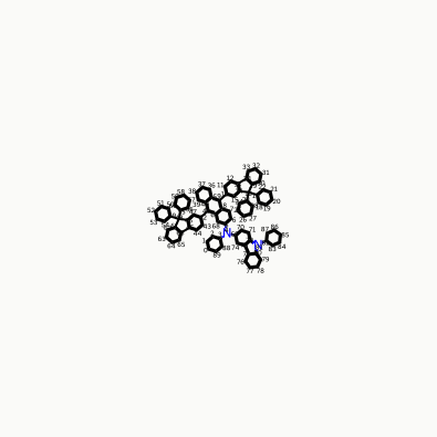 c1ccc(N(c2ccc3c(-c4ccc5c(c4)C(c4ccccc4)(c4ccccc4)c4ccccc4-5)c4ccccc4c(-c4ccc5c(c4)C(c4ccccc4)(c4ccccc4)c4ccccc4-5)c3c2)c2ccc3c(c2)c2ccccc2n3-c2ccccc2)cc1